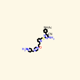 CC(=O)Nc1ccc(-c2nc(SCc3cccc(CCC(=O)N4CCN(CC5CCN(N)CC5)CC4)n3)nc(N)c2C#N)cc1